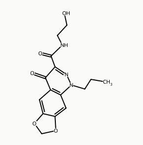 CCCn1nc(C(=O)NCCO)c(=O)c2cc3c(cc21)OCO3